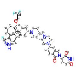 O=C1CC[C@H](N2Cc3cc(N4CCN(CC5CCN(c6ccc(C7=C(COCC(F)F)CCCc8c7ccc7[nH]nc(F)c87)cc6)CC5)CC4)ccc3C2=O)C(=O)N1